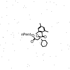 CCCCCOC(=O)CP(=O)(C(=O)c1c(C)cc(C)cc1C)C1CCCCC1